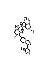 COc1ncc(Cl)cc1S(=O)(=O)Nc1ccc(F)c(-c2ccc3c(-c4cnn[nH]4)ncn3c2)c1F